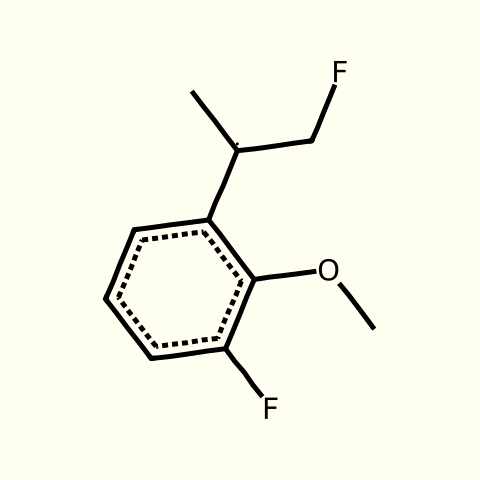 COc1c(F)cccc1[C](C)CF